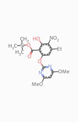 CCc1cc(Oc2nc(OC)cc(OC)n2)c(C(=O)O[Si](C)(C)C)c(O)c1[N+](=O)[O-]